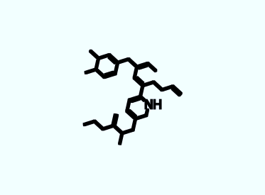 C=CCC/C(=C\C(=C/C)CC1=CC(C)C(C)C=C1)C1=CC=C(CC(C)C(=C)CCC)CN1